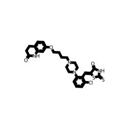 O=C1CCc2ccc(OCCCCN3CCN(c4cccc(Cl)c4C=C4SC(=S)NC4=O)CC3)cc2N1